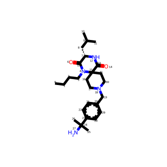 CCCCN1C(=O)[C@H](CC(C)C)NC(=O)C12CCN(Cc1ccc(C(C)(C)N)cc1)CC2